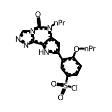 CCCOc1ccc(S(=O)(=O)Cl)cc1-c1cc2c([nH]1)c1nncn1c(=O)n2CCC